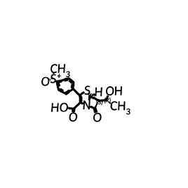 C[C@@H](O)[C@H]1C(=O)N2C(C(=O)O)=C(c3ccc([S+](C)[O-])cc3)S[C@H]12